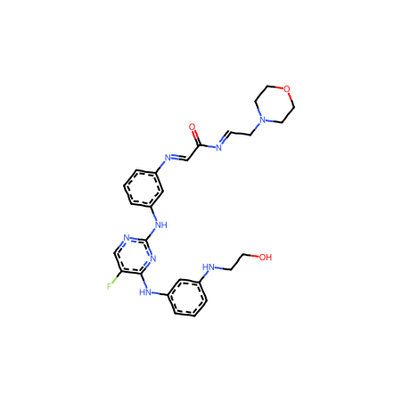 O=C(C=Nc1cccc(Nc2ncc(F)c(Nc3cccc(NCCO)c3)n2)c1)N=CCN1CCOCC1